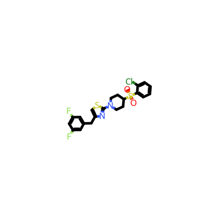 O=S(=O)(c1ccccc1Cl)C1CCN(c2nc(Cc3cc(F)cc(F)c3)cs2)CC1